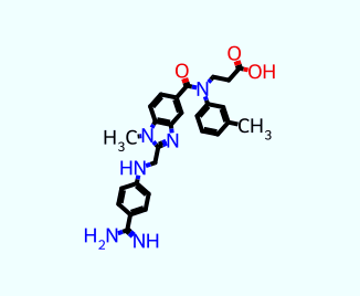 Cc1cccc(N(CCC(=O)O)C(=O)c2ccc3c(c2)nc(CNc2ccc(C(=N)N)cc2)n3C)c1